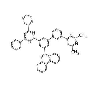 Cc1cc(-c2cccc(-c3cc(-c4nc(-c5ccccc5)cc(-c5ccccc5)n4)cc(-c4cc5ccccc5c5ccccc45)c3)c2)nc(C)n1